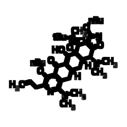 C=CCc1nc(N(C)C)c2c(c1OCCCC)C(=O)C1=C(O)[C@]3(O[Si](C)(C)C(C)(C)C)C(=O)c4c(OCCCC)noc4[C@@H](N(C)C)[C@@H]3C[C@@H]1C2